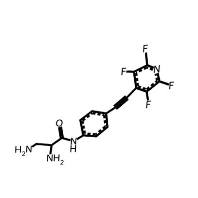 NCC(N)C(=O)Nc1ccc(C#Cc2c(F)c(F)nc(F)c2F)cc1